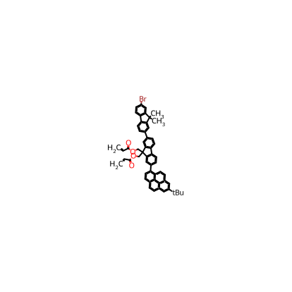 C=CC(=O)OCC1(COC(=O)C=C)c2cc(-c3ccc4c(c3)C(C)(C)c3cc(Br)ccc3-4)ccc2-c2ccc(-c3ccc4ccc5cc(C(C)(C)C)cc6ccc3c4c56)cc21